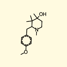 COc1ccc(CC2N(C)CCC(C)(O)C2(C)C)cc1